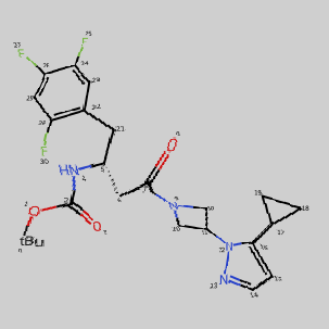 CC(C)(C)OC(=O)N[C@@H](CC(=O)N1CC(n2nccc2C2CC2)C1)Cc1cc(F)c(F)cc1F